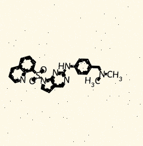 CN(C)Cc1ccc(Nc2ncc3ccn(S(=O)(=O)c4cccc5cccnc45)c3n2)cc1